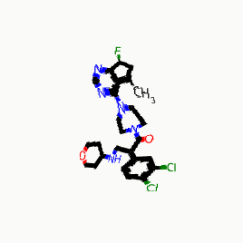 C[C@@H]1C[C@H](F)c2ncnc(N3CCN(C(=O)C(CNC4CCOCC4)c4ccc(Cl)c(Cl)c4)CC3)c21